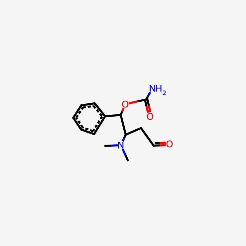 CN(C)C(CC=O)C(OC(N)=O)c1ccccc1